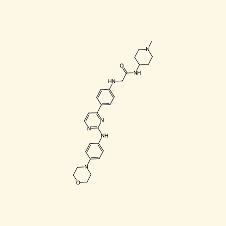 CN1CCC(NC(=O)CNc2ccc(-c3ccnc(Nc4ccc(N5CCOCC5)cc4)n3)cc2)CC1